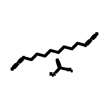 CC(C)=O.O=C=NCCCCCCCCN=C=O